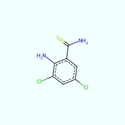 NC(=S)c1cc(Cl)cc(Cl)c1N